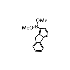 COB(OC)c1cccc2c1Cc1ccccc1-2